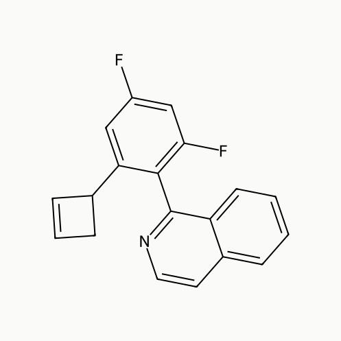 Fc1cc(F)c(-c2nccc3ccccc23)c(C2C=CC2)c1